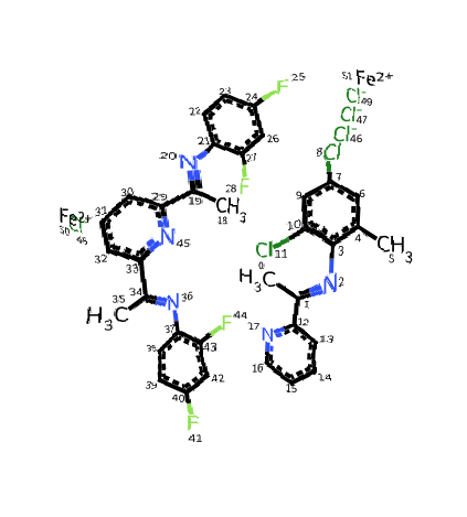 CC(=Nc1c(C)cc(Cl)cc1Cl)c1ccccn1.CC(=Nc1ccc(F)cc1F)c1cccc(C(C)=Nc2ccc(F)cc2F)n1.[Cl-].[Cl-].[Cl-].[Cl-].[Fe+2].[Fe+2]